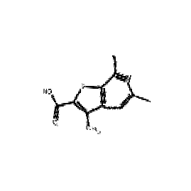 Cc1cc2c(N)c(C(=O)O)sc2c(C)n1